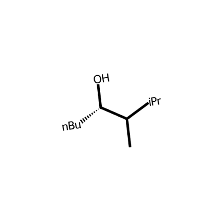 CCCC[C@H](O)C(C)C(C)C